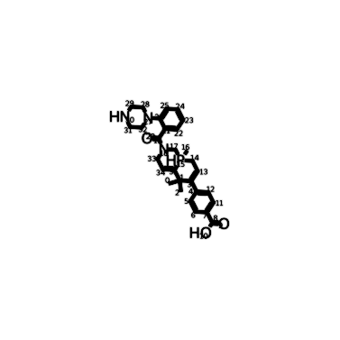 CC1(C)C(c2ccc(C(=O)O)cc2)=CC[PH]2(C)CN(C(=O)c3ccccc3N3CCNCC3)CC=C12